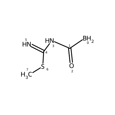 BC(=O)NC(=N)SC